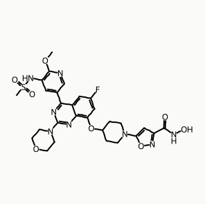 COc1ncc(-c2nc(N3CCOCC3)nc3c(OC4CCN(c5cc(C(=O)NO)no5)CC4)cc(F)cc23)cc1NS(C)(=O)=O